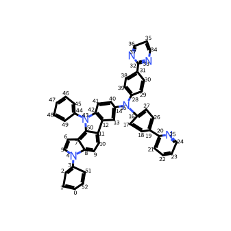 c1ccc(-n2ccc3c2ccc2c4cc(N(c5ccc(-c6ccccn6)cc5)c5ccc(-c6ncccn6)cc5)ccc4n(-c4ccccc4)c23)cc1